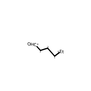 CCC[CH]CC=O